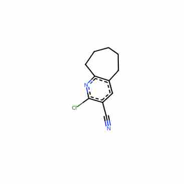 N#Cc1cc2c(nc1Cl)CCCCC2